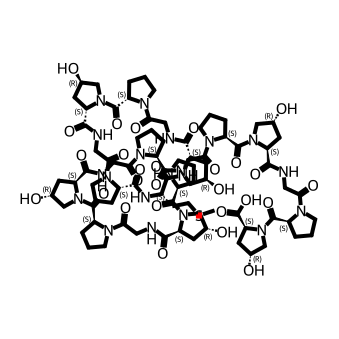 CSCC[C@H](NC(=O)[C@@H]1CCCN1C(=O)CNC(=O)[C@@H]1C[C@@H](O)CN1C(=O)[C@@H]1CCCN1C(=O)CNC(=O)[C@@H]1C[C@@H](O)CN1C(=O)[C@@H]1CCCN1C(=O)CNC(=O)[C@@H]1C[C@@H](O)CN1C(=O)[C@@H]1CCCN1C(=O)CNC(=O)[C@@H]1C[C@@H](O)CN1C(=O)[C@@H]1CCCN1)C(=O)NCC(=O)N1CCC[C@H]1C(=O)N1C[C@H](O)C[C@H]1C(=O)NCC(=O)N1CCC[C@H]1C(=O)N1C[C@H](O)C[C@H]1C(=O)O